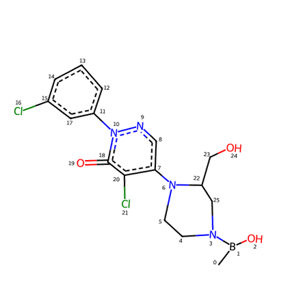 CB(O)N1CCN(c2cnn(-c3cccc(Cl)c3)c(=O)c2Cl)C(CO)C1